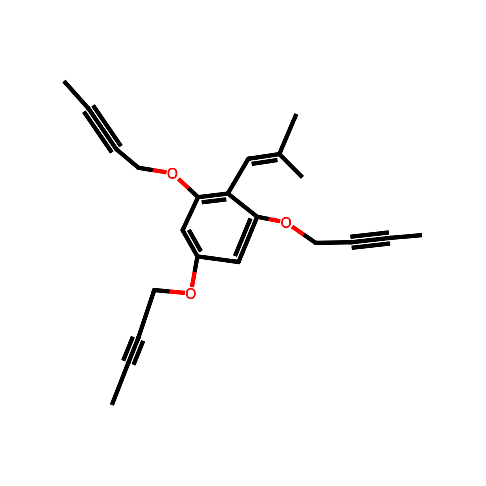 CC#CCOc1cc(OCC#CC)c(C=C(C)C)c(OCC#CC)c1